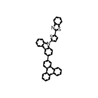 c1ccc2sc(-c3ccc(-n4c5ccccc5c5cc(-c6ccc7c8ccccc8c8ccccc8c7c6)ccc54)s3)nc2c1